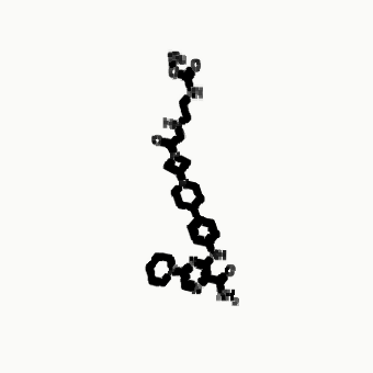 CC(C)(C)OC(=O)NCCNCC(=O)N1CC(N2CCC(c3ccc(Nc4nc(N5CCCCC5)cnc4C(N)=O)cc3)CC2)C1